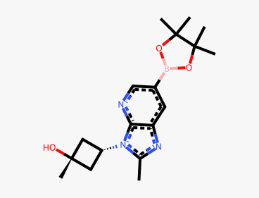 Cc1nc2cc(B3OC(C)(C)C(C)(C)O3)cnc2n1[C@H]1C[C@@](C)(O)C1